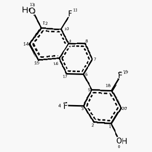 Oc1cc(F)c(-c2ccc3c(F)c(O)ccc3c2)c(F)c1